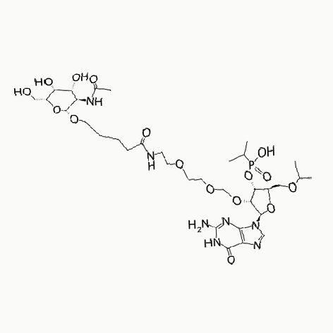 CC(=O)N[C@H]1[C@H](OCCCCC(=O)NCCOCCOCO[C@@H]2[C@H](OP(=O)(O)C(C)C)[C@@H](COC(C)C)O[C@H]2n2cnc3c(=O)[nH]c(N)nc32)O[C@H](CO)[C@H](O)[C@@H]1O